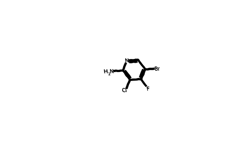 Nc1ncc(Br)c(F)c1Cl